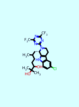 CC(CCC(O)C(C)(C)O)C[C@H]1c2[nH]c3ccc(Cl)cc3c2CCN1c1nc(C(F)(F)F)nc(C(F)(F)F)n1